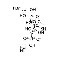 Br.CC(=O)O.Cl.F.I.N#CS.O=P(O)(O)O.O=S(=O)(O)O.[O-][Cl+3]([O-])([O-])O